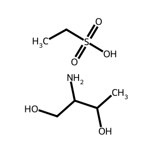 CC(O)C(N)CO.CCS(=O)(=O)O